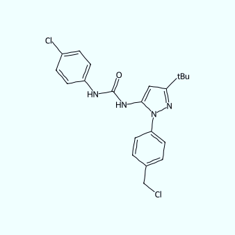 CC(C)(C)c1cc(NC(=O)Nc2ccc(Cl)cc2)n(-c2ccc(CCl)cc2)n1